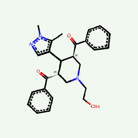 Cc1c(C2[C@@H](C(=O)c3ccccc3)CN(CCO)C[C@@H]2C(=O)c2ccccc2)cnn1C